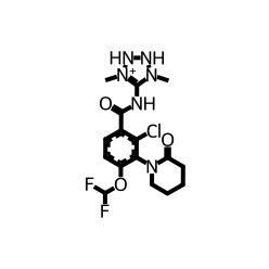 CN1NN[N+](C)=C1NC(=O)c1ccc(OC(F)F)c(N2CCCCC2=O)c1Cl